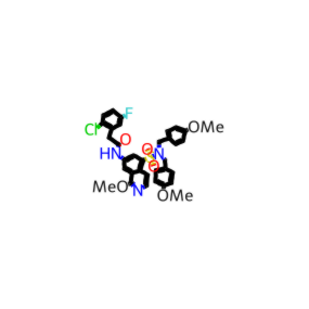 COc1ccc(CN(Cc2ccc(OC)cc2)S(=O)(=O)c2cc(NC(=O)Cc3cc(F)ccc3Cl)cc3c(OC)nccc23)cc1